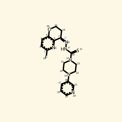 Fc1ccc2c(n1)/C(=N\NC(=S)N1CCN(c3cccnc3)CC1)CCO2